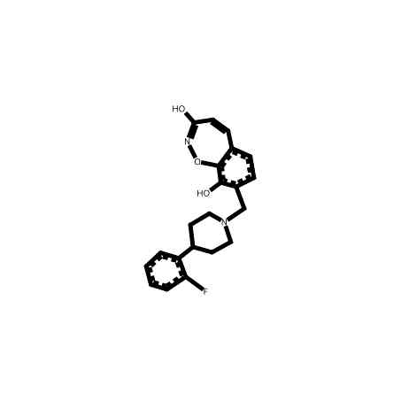 OC1=NOc2c(ccc(CN3CCC(c4ccccc4F)CC3)c2O)C=C1